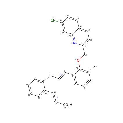 Cc1cccc(/C=C/Cc2ccccc2/C=C/C(=O)O)c1OCc1ccc2ccc(Cl)cc2n1